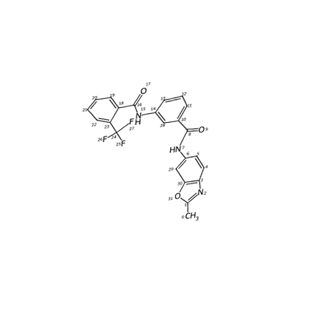 Cc1nc2ccc(NC(=O)c3cccc(NC(=O)c4ccccc4C(F)(F)F)c3)cc2o1